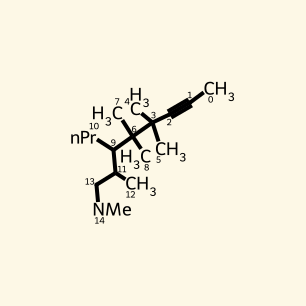 CC#CC(C)(C)C(C)(C)C(CCC)C(C)CNC